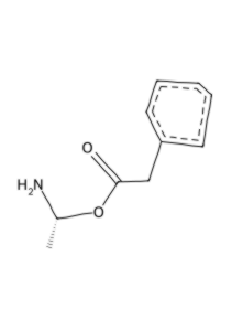 C[C@H](N)OC(=O)Cc1ccccc1